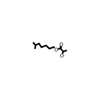 CC(C)CCCCCOC(=O)C(C)[O]